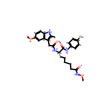 CONC(=O)CCCCC[C@H](NC(=O)Cc1c(C)[nH]c2ccc(OC)cc12)C(=O)Nc1ccc(Cl)cc1